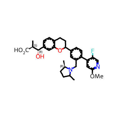 COc1cc(-c2ccc(C3CCc4ccc([C@H](O)[C@H](C)C(=O)O)cc4O3)cc2CN2C(C)CC[C@H]2C)c(F)cn1